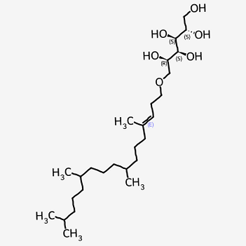 C/C(=C\CCOC[C@@H](O)[C@H](O)[C@@H](O)[C@@H](O)CO)CCCC(C)CCCC(C)CCCC(C)C